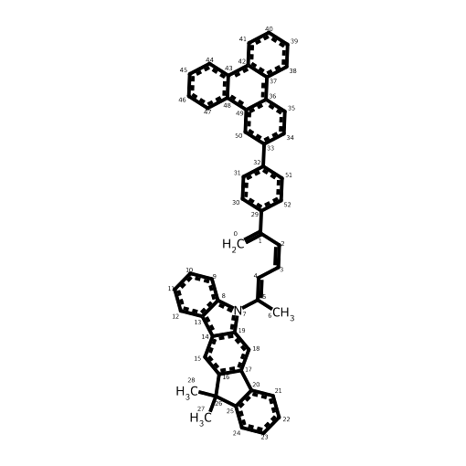 C=C(/C=C\C=C(/C)n1c2ccccc2c2cc3c(cc21)-c1ccccc1C3(C)C)c1ccc(-c2ccc3c4ccccc4c4ccccc4c3c2)cc1